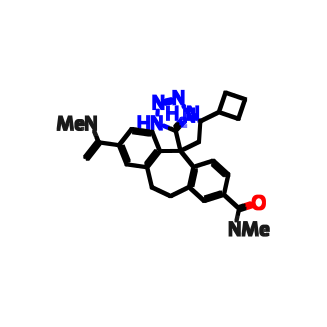 C=C(NC)c1ccc2c(c1)CCc1cc(C(=O)NC)ccc1C2(C[C@H](N)C1CCC1)c1nnn[nH]1